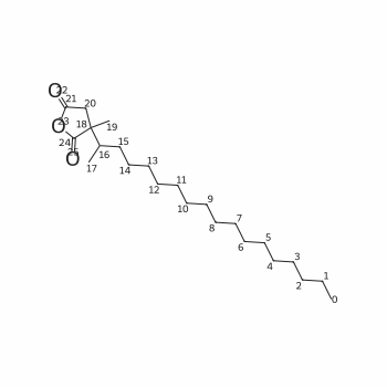 CCCCCCCCCCCCCCCCC(C)C1(C)CC(=O)OC1=O